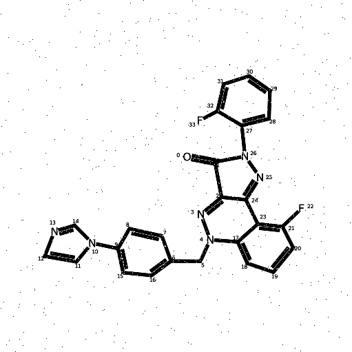 O=c1c2nn(Cc3ccc(-n4ccnc4)cc3)c3cccc(F)c3c-2nn1-c1ccccc1F